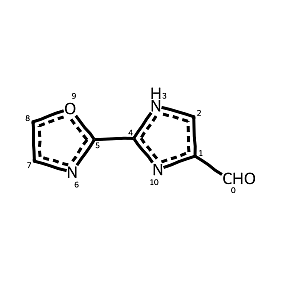 O=Cc1c[nH]c(-c2ncco2)n1